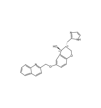 O[C@@H]1c2cc(OCc3ccc4ccccc4n3)ccc2OC[C@H]1Cc1ncc[nH]1